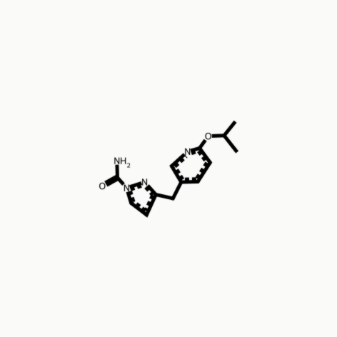 CC(C)Oc1ccc(Cc2ccn(C(N)=O)n2)cn1